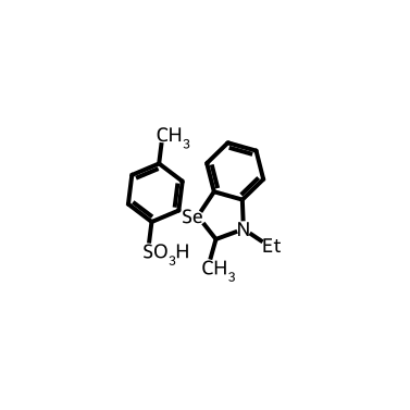 CCN1c2ccccc2[Se]C1C.Cc1ccc(S(=O)(=O)O)cc1